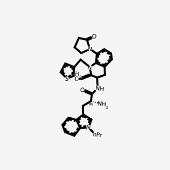 CC=C1C(NC(=O)[C@H](N)Cc2cn(CCC)c3ccccc23)Cc2cccc(N3CCCC3=O)c2N1Cc1ccsc1